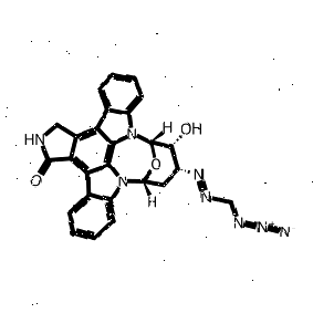 [N-]=[N+]=NCN=N[C@@H]1C[C@H]2O[C@@H]([C@@H]1O)n1c3ccccc3c3c4c(c5c6ccccc6n2c5c31)C(=O)NC4